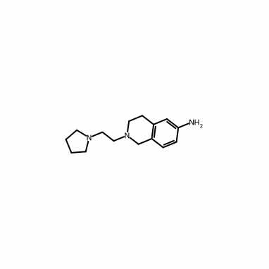 Nc1ccc2c(c1)CCN(CCN1CCCC1)C2